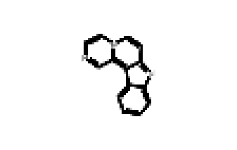 c1ccc2c3c4cnccn4ccc-3nc2c1